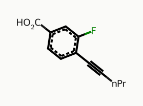 CCCC#Cc1ccc(C(=O)O)cc1F